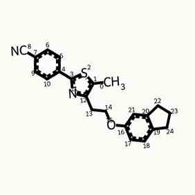 Cc1sc(-c2ccc(C#N)cc2)nc1CCOc1ccc2c(c1)CCC2